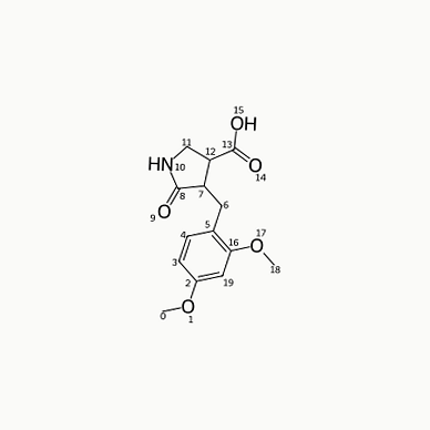 COc1ccc(CC2C(=O)NCC2C(=O)O)c(OC)c1